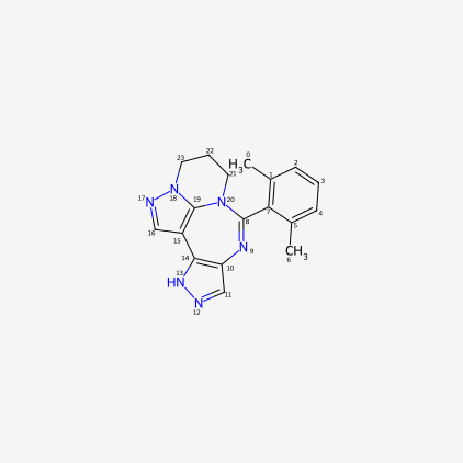 Cc1cccc(C)c1C1=Nc2cn[nH]c2-c2cnn3c2N1CCC3